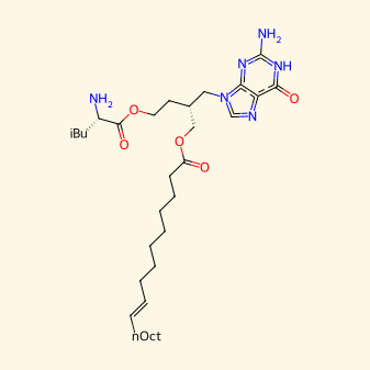 CCCCCCCC/C=C/CCCCCCCC(=O)OC[C@H](CCOC(=O)[C@@H](N)C(C)CC)Cn1cnc2c(=O)[nH]c(N)nc21